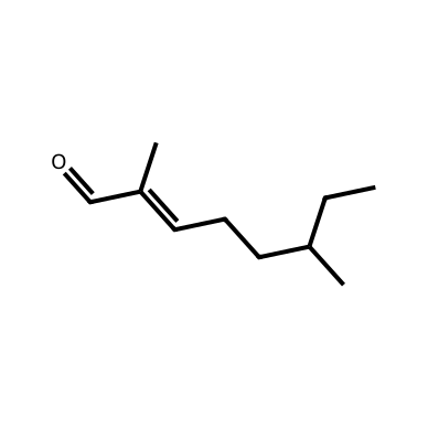 CCC(C)CC/C=C(\C)C=O